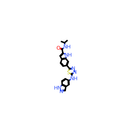 CC(C)NC(=O)c1cc2ccc(-c3nnc(Nc4ccc5[nH]ncc5c4)s3)cc2[nH]1